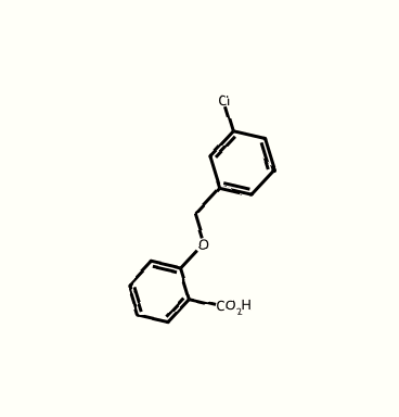 O=C(O)c1ccccc1OCc1cccc(Cl)c1